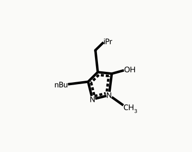 CCCCc1nn(C)c(O)c1CC(C)C